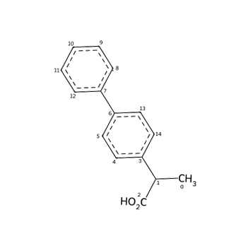 CC(C(=O)O)c1ccc(-c2[c]cccc2)cc1